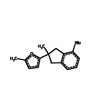 Cc1ccc(C2(C)[CH]c3cccc(C(C)(C)C)c3C2)o1